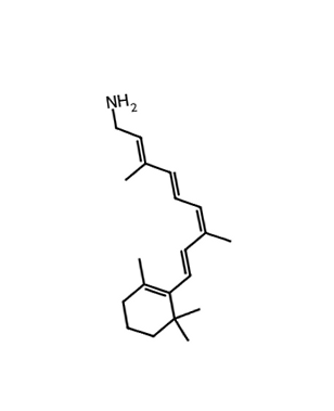 CC1=C(/C=C/C(C)=C\C=C\C(C)=C\CN)C(C)(C)CCC1